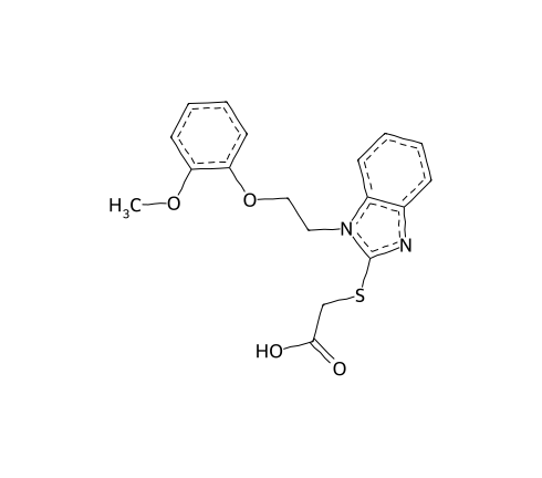 COc1ccccc1OCCn1c(SCC(=O)O)nc2ccccc21